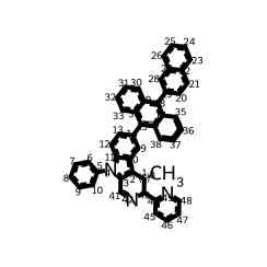 C[C@H]1c2c(n(-c3ccccc3)c3ccc(-c4c5c(c(-c6ccc7ccccc7c6)c6ccccc46)C=C=C=C5)cc23)C=NC1c1ccccn1